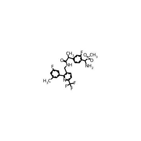 Cc1cc(F)cc(-c2nc(C(F)(F)F)ccc2CNC(=O)C(C)c2ccc(C(N)S(C)(=O)=O)c(F)c2)c1